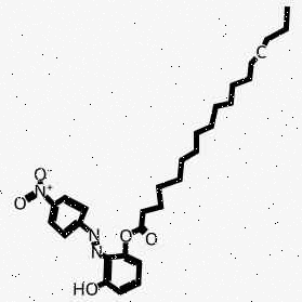 CCCCCCCCCCCCCCCCCC(=O)Oc1cccc(O)c1N=Nc1ccc([N+](=O)[O-])cc1